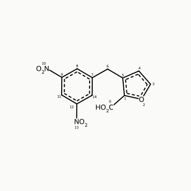 O=C(O)c1occc1Cc1cc([N+](=O)[O-])cc([N+](=O)[O-])c1